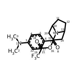 CN(C)c1ccc(C(=O)N2C3CCC2CC(OC(=O)C(F)(F)F)C3)cc1